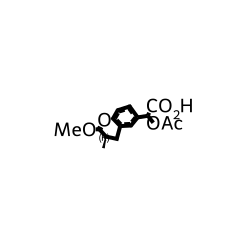 COC(=O)[C@H](C)Cc1cccc(C(OC(C)=O)C(=O)O)c1